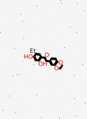 CCc1cc(C(=O)Cc2ccc3c(c2)OCCO3)c(O)cc1O